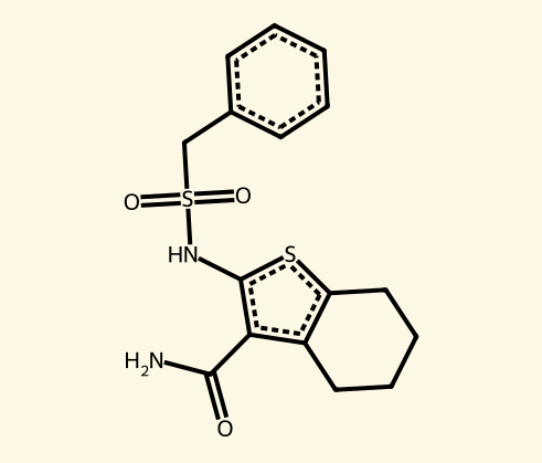 NC(=O)c1c(NS(=O)(=O)Cc2ccccc2)sc2c1CCCC2